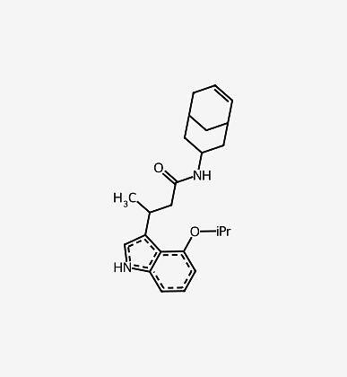 CC(C)Oc1cccc2[nH]cc(C(C)CC(=O)NC3CC4C=CCC(C4)C3)c12